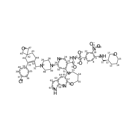 O=C(NS(=O)(=O)c1ccc(NC[C@@H]2CCCOC2)c([N+](=O)[O-])c1)c1cnc(N2CCN(CC3=C(c4ccc(Cl)cc4)CC4(CC3)COC4)CC2)cc1N1CCCOc2nc3[nH]ccc3cc21